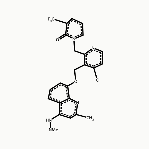 CNNc1cc(C)nc2c(OCc3c(Cl)ccnc3Cn3cccc(C(F)(F)F)c3=O)cccc12